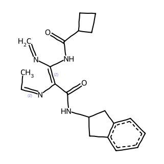 C=N/C(NC(=O)C1CCC1)=C(\N=C/C)C(=O)NC1Cc2ccccc2C1